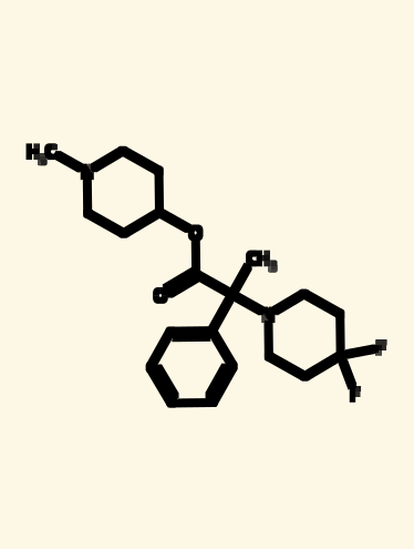 CN1CCC(OC(=O)C(C)(c2ccccc2)N2CCC(F)(F)CC2)CC1